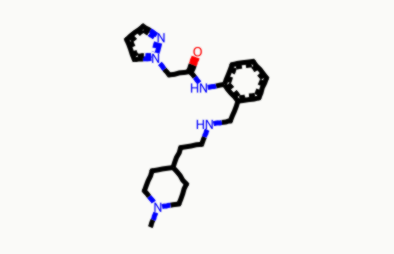 CN1CCC(CCNCc2ccccc2NC(=O)Cn2cccn2)CC1